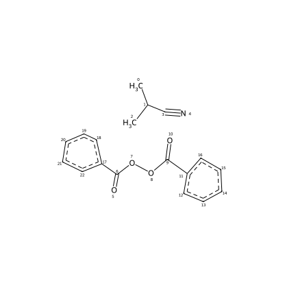 CC(C)C#N.O=C(OOC(=O)c1ccccc1)c1ccccc1